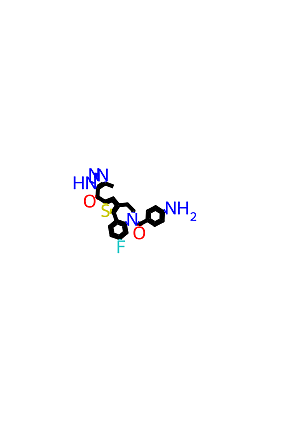 Cc1nn[nH]c1C(=O)c1cc2c(s1)-c1ccc(F)cc1N(C(=O)c1ccc(N)cc1)CC2